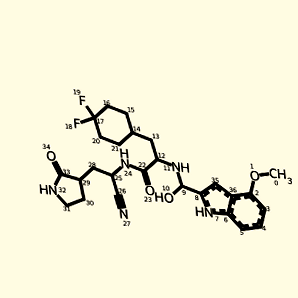 COc1cccc2[nH]c(C(O)NC(CC3CCC(F)(F)CC3)C(=O)NC(C#N)CC3CCNC3=O)cc12